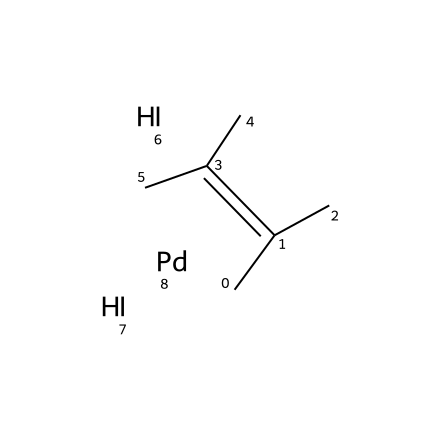 CC(C)=C(C)C.I.I.[Pd]